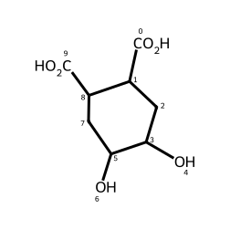 O=C(O)C1CC(O)C(O)CC1C(=O)O